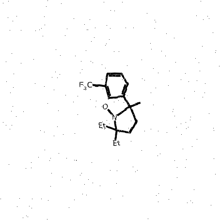 CCC1(CC)CCC(C)(c2cccc(C(F)(F)F)c2)N1[O]